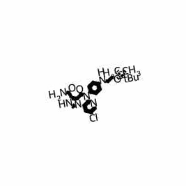 CC(C)(C)[Si](C)(C)OCCNc1ccc(N(C(=O)c2nc[nH]c2C(N)=O)c2ccc(Cl)cn2)cc1